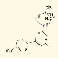 C=C(/C=C\C(=C/C)c1cc(I)cc(-c2ccc(C(C)(C)C)cc2)c1)C(C)(C)C